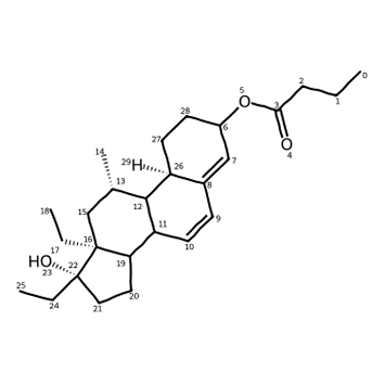 CCCC(=O)OC1C=C2C=CC3C([C@@H](C)C[C@@]4(CC)C3CC[C@@]4(O)CC)[C@H]2CC1